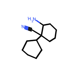 N#CC1(C2CCCCC2)CCCCC1N